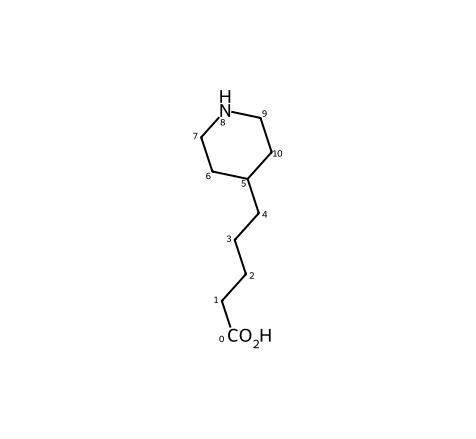 O=C(O)CCCCC1CCNCC1